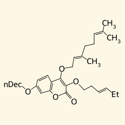 CCC=CCCOc1c(OC/C=C(\C)CCC=C(C)C)c2ccc(OCCCCCCCCCC)cc2oc1=O